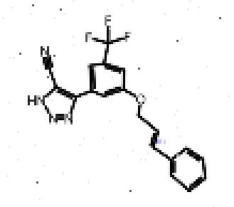 N#Cc1[nH]nnc1-c1cc(OC/C=C/c2ccccc2)cc(C(F)(F)F)c1